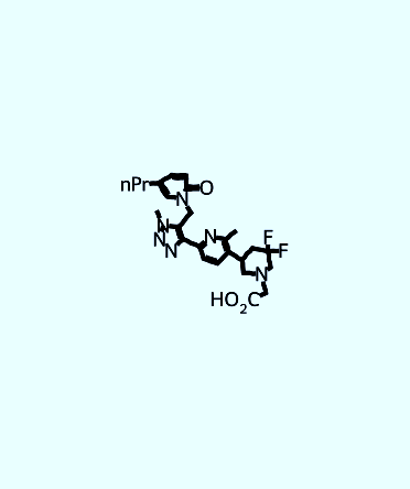 CCCc1ccc(=O)n(Cc2c(-c3ccc(C4CN(CC(=O)O)CC(F)(F)C4)c(C)n3)nnn2C)c1